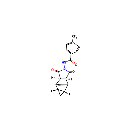 O=C(NN1C(=O)[C@@H]2C3C=CC([C@@H]4C[C@H]34)[C@@H]2C1=O)c1ccc(C(F)(F)F)cc1